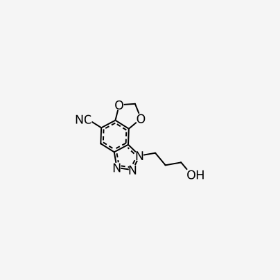 N#Cc1cc2nnn(CCCO)c2c2c1OCO2